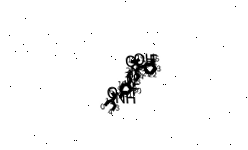 CCC(CC)C(=O)Nc1ccc(N2CCN(C(C(=O)O)c3cccc(F)c3)CC2)c(F)c1